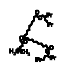 CC(C)CCC(COC(=O)CCCCCCCCCC1(CCCCCCCCCC(=O)OCC(CCC(C)C)C(C)C)OCC(CCN(C)C)O1)C(C)C